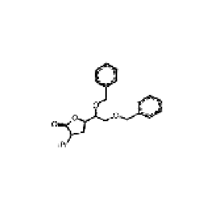 CC(C)C1CC(C(COCc2ccccc2)OCc2ccccc2)OC1=O